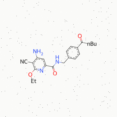 CCCCC(=O)c1ccc(CNC(=O)c2cc(N)c(C#N)c(OCC)n2)cc1